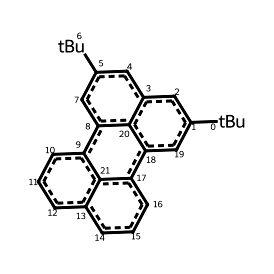 CC(C)(C)c1cc2cc(C(C)(C)C)cc3c4cccc5cccc(c(c1)c23)c54